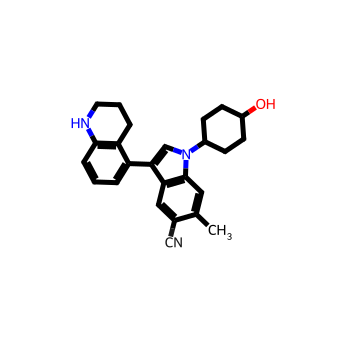 Cc1cc2c(cc1C#N)c(-c1cccc3c1CCCN3)cn2C1CCC(O)CC1